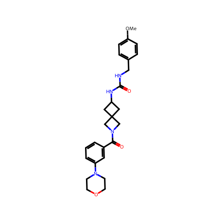 COc1ccc(CNC(=O)NC2CC3(C2)CN(C(=O)c2cccc(N4CCOCC4)c2)C3)cc1